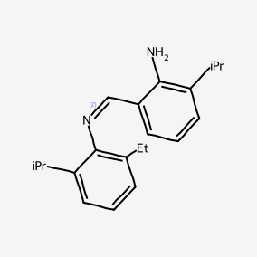 CCc1cccc(C(C)C)c1/N=C\c1cccc(C(C)C)c1N